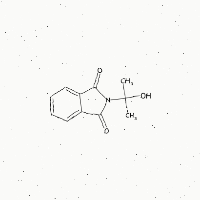 CC(C)(O)N1C(=O)c2ccccc2C1=O